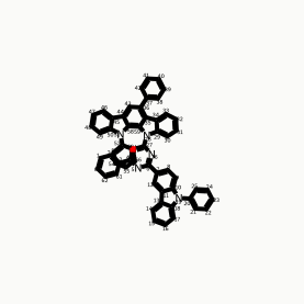 c1ccc(-c2nc(-c3ccc4c(c3)c3ccccc3n4-c3ccccc3)nc(-n3c4ccccc4c4c(-c5ccccc5)cc5c6ccccc6n(-c6ccccc6)c5c43)n2)cc1